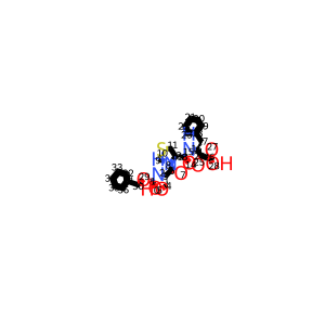 O=C(N[C@@H](CO)C(=O)N1CSC[C@H]1C(=O)N[C@@H](Cc1ccccc1)C(=O)C(=O)O)OCc1ccccc1